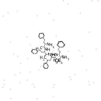 CC(N)C(CCc1ccccc1)NC(C)C(CCc1ccccc1)NC(C)C(CCc1ccccc1)NC(C)C(N)CCc1ccccc1